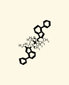 CC1=Cc2c(-c3ccccc3)cccc2[CH]1[Ti]([CH3])([CH3])[C](C)(C)[Ti]([CH3])([CH3])[CH]1C(C)=Cc2c(-c3ccccc3)cccc21